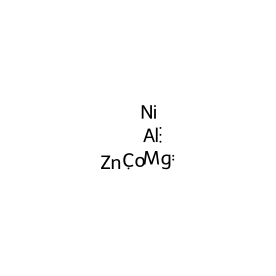 [Al].[Co].[Mg].[Ni].[Zn]